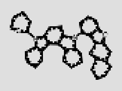 c1ccc(-n2c3ccccc3c3c4c5ccccc5n(-c5cccc6oc7cc8ccccc8cc7c56)c4ccc32)cc1